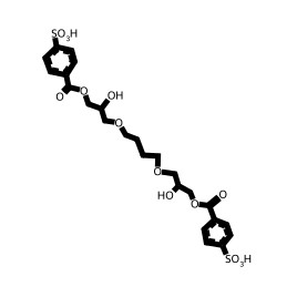 O=C(OCC(O)COCCCCOCC(O)COC(=O)c1ccc(S(=O)(=O)O)cc1)c1ccc(S(=O)(=O)O)cc1